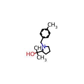 Cc1ccc(CN2CCCC2C(C)(C)O)cc1